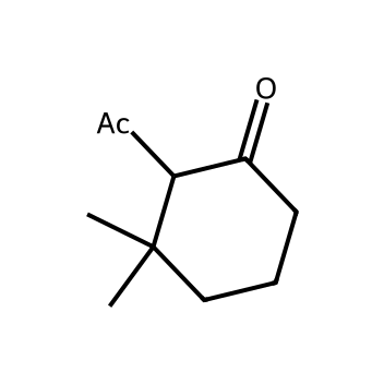 CC(=O)C1C(=O)CCCC1(C)C